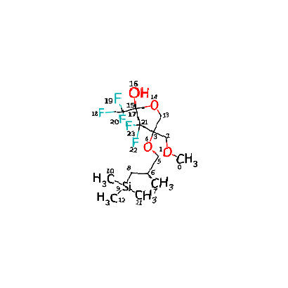 COCC1(OCC(C)C[Si](C)(C)C)COC(O)(C(F)(F)F)C1(F)F